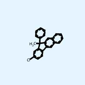 CC1(c2ccccc2)c2cc(Cl)ccc2-c2cc3ccccc3cc21